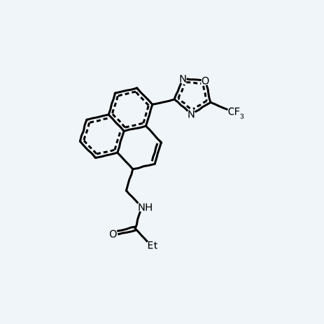 CCC(=O)NCC1C=Cc2c(-c3noc(C(F)(F)F)n3)ccc3cccc1c23